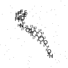 [2H]COCCCOc1ccc2c(c1)CCC1C2CC[C@@]2(C)C1CC[C@@H]2OCCN(C)CCOC(F)(C(F)(F)F)C(F)(F)F